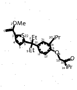 C=C(OC)c1ccc(C(CC)(CC)c2ccc(OCC(=O)C(C)C)c(C(C)C)c2)s1